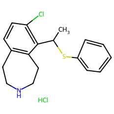 CC(Sc1ccccc1)c1c(Cl)ccc2c1CCNCC2.Cl